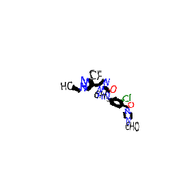 C#CCn1cc(-c2cnc(C(=O)Nc3ccc(C(=O)N4CCN(C=O)CC4)c(Cl)c3)n2C)c(C(F)(F)F)n1